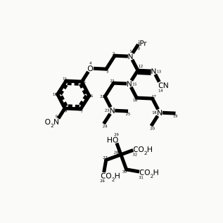 CC(C)N(CCOc1ccc([N+](=O)[O-])cc1)C(=NC#N)N(CCN(C)C)CCN(C)C.O=C(O)CC(O)(CC(=O)O)C(=O)O